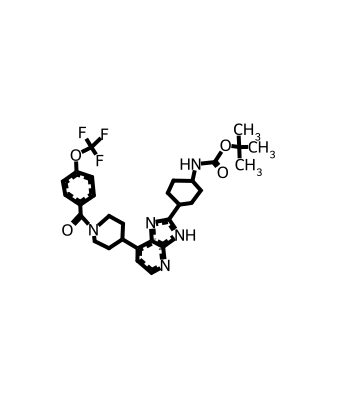 CC(C)(C)OC(=O)NC1CCC(c2nc3c(C4CCN(C(=O)c5ccc(OC(F)(F)F)cc5)CC4)ccnc3[nH]2)CC1